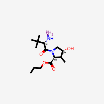 CCCOC(=O)[C@@H]1C(C)[C@@H](O)CN1C(=O)[C@@H](NP)C(C)(C)C